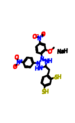 COc1cc([N+](=O)[O-])ccc1N1NC(Cc2ccc(S)cc2S)NN1c1ccc([N+](=O)[O-])cc1.[NaH]